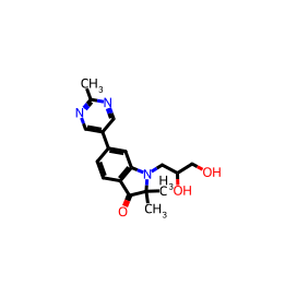 Cc1ncc(-c2ccc3c(c2)N(CC(O)CO)C(C)(C)C3=O)cn1